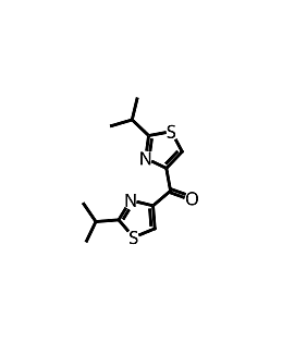 CC(C)c1nc(C(=O)c2csc(C(C)C)n2)cs1